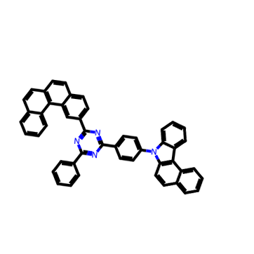 c1ccc(-c2nc(-c3ccc(-n4c5ccccc5c5c6ccccc6ccc54)cc3)nc(-c3ccc4ccc5ccc6ccccc6c5c4c3)n2)cc1